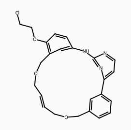 ClCCOc1ccc2cc1COC/C=C/COCc1cccc(c1)-c1ccnc(n1)N2